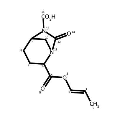 CC=COC(=O)C1CCC2CN1C(=O)N2C(=O)O